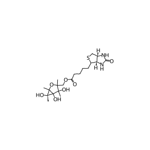 CC1(COC(=O)CCCCC2SC[C@@H]3NC(=O)N[C@H]23)OC2(C)C(O)(C1(C)O)[C@]2(C)O